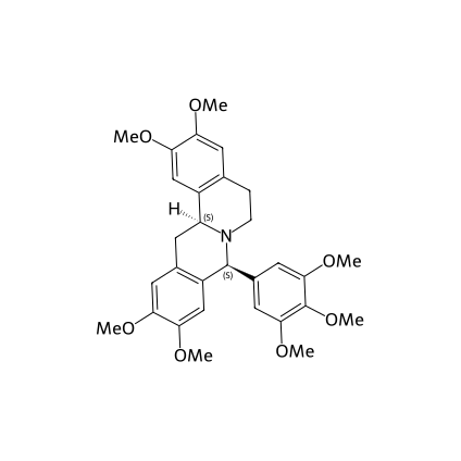 COc1cc2c(cc1OC)[C@H](c1cc(OC)c(OC)c(OC)c1)N1CCc3cc(OC)c(OC)cc3[C@@H]1C2